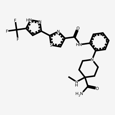 CNC1(C(N)=O)CCN(c2ccccc2NC(=O)c2csc(-c3cc(C(F)(F)F)[nH]n3)n2)CC1